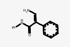 CC(C)NC(=O)C(=CN)c1ccccc1